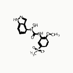 COc1ccc(S(C)(=O)=O)cc1NC(=O)N(S)c1cccc2[nH]ncc12